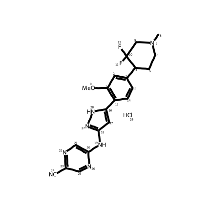 COc1cc(C2CCN(C)CC2(F)F)ccc1-c1cc(Nc2cnc(C#N)cn2)n[nH]1.Cl